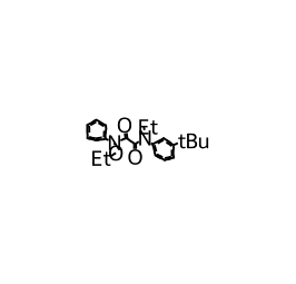 CCON(C(=O)C(=O)N(CC)c1cccc(C(C)(C)C)c1)c1ccccc1